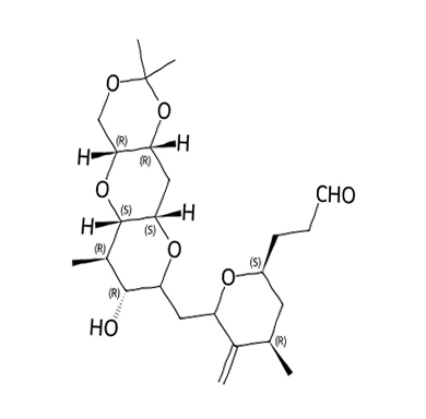 C=C1C(CC2O[C@H]3C[C@H]4OC(C)(C)OC[C@H]4O[C@H]3[C@H](C)[C@H]2O)O[C@@H](CCC=O)C[C@H]1C